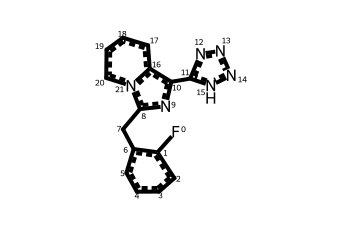 Fc1ccccc1Cc1nc(-c2nnn[nH]2)c2ccccn12